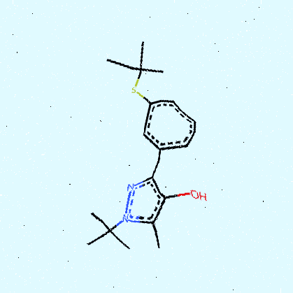 Cc1c(O)c(-c2cccc(SC(C)(C)C)c2)nn1C(C)(C)C